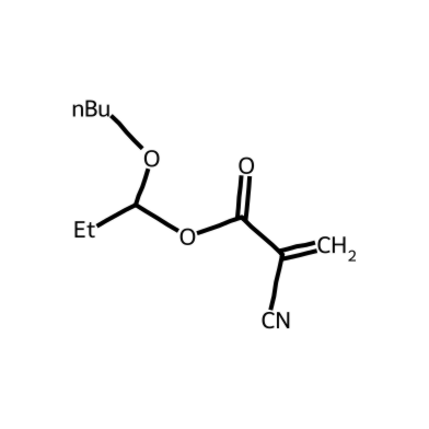 C=C(C#N)C(=O)OC(CC)OCCCC